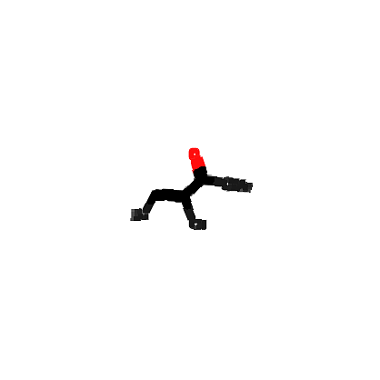 CCC(C)/C=C(\C#N)C(=O)OC